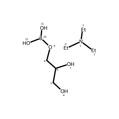 CCN(CC)CC.OCC(O)COB(O)O